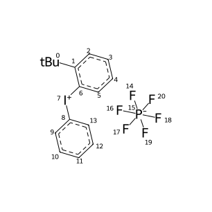 CC(C)(C)c1ccccc1[I+]c1ccccc1.F[P-](F)(F)(F)(F)F